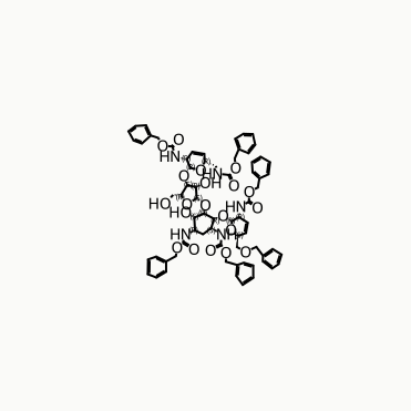 O=C(NC[C@H]1C=C[C@@H](NC(=O)OCc2ccccc2)[C@@H](O[C@H]2[C@@H](O)[C@H](O[C@@H]3[C@@H](O)[C@H](NC(=O)OCc4ccccc4)C[C@H](NC(=O)OCc4ccccc4)[C@H]3O[C@H]3O[C@H](COCc4ccccc4)C=C[C@H]3NC(=O)OCc3ccccc3)O[C@@H]2CO)O1)OCc1ccccc1